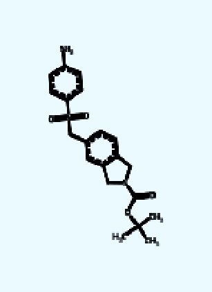 CC(C)(C)OC(=O)N1Cc2ccc(CS(=O)(=O)c3ccc(N)cc3)cc2C1